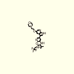 CC(C)C(Nc1cncc(-c2c[nH]c3ncc(OCCN4CCOCC4)cc23)c1)C(=O)NCC(F)(F)F